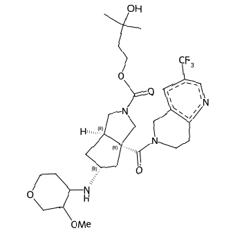 COC1COCCC1N[C@@H]1C[C@H]2CN(C(=O)OCCC(C)(C)O)C[C@@]2(C(=O)N2CCc3ncc(C(F)(F)F)cc3C2)C1